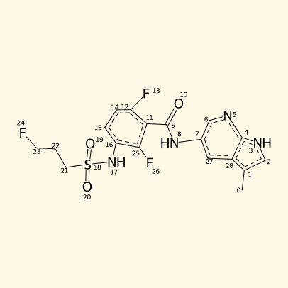 Cc1c[nH]c2ncc(NC(=O)c3c(F)ccc(NS(=O)(=O)CCCF)c3F)cc12